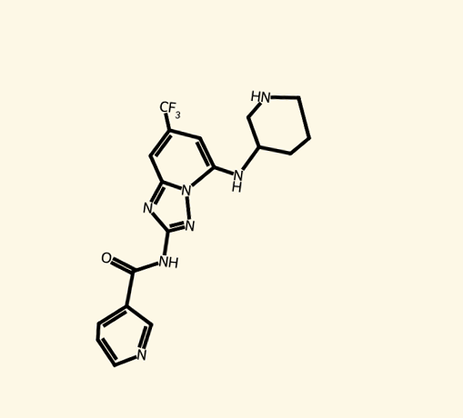 O=C(Nc1nc2cc(C(F)(F)F)cc(NC3CCCNC3)n2n1)c1cccnc1